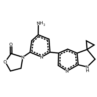 Nc1cc(-c2cnc3c(c2)C2(CC2)CN3)nc(N2CCOC2=O)c1